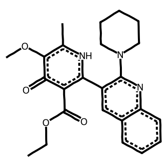 CCOC(=O)c1c(-c2cc3ccccc3nc2N2CCCCC2)[nH]c(C)c(OC)c1=O